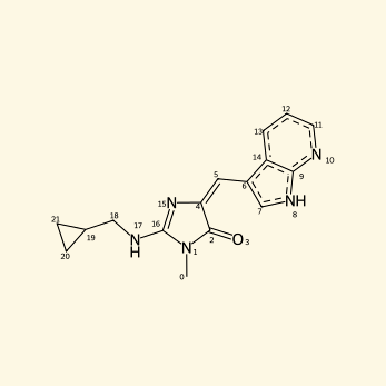 CN1C(=O)C(=Cc2c[nH]c3ncccc23)N=C1NCC1CC1